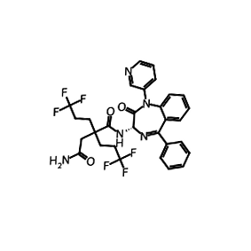 NC(=O)CC(CCC(F)(F)F)(CCC(F)(F)F)C(=O)N[C@H]1N=C(c2ccccc2)c2ccccc2N(c2cccnc2)C1=O